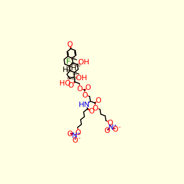 C[C@]12C=CC(=O)C=C1CC[C@H]1[C@@H]3C[C@@H](O)[C@](O)(C(=O)COC(=O)OCC(NC(=O)CCCCCO[N+](=O)[O-])C(=O)OCCCCO[N+](=O)[O-])[C@@]3(C)C[C@H](O)[C@@]12F